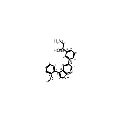 COc1ccccc1-c1c[nH]c2ncc(-c3cccc(C(O)CN)c3)cc12